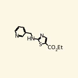 CCOC(=O)c1cnc(NCc2cccnc2)s1